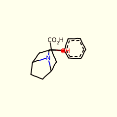 O=C(O)C1(O)CC2CCC(C1)N2Cc1ccccc1